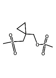 CS(=O)(=O)CC1(COS(C)(=O)=O)CC1